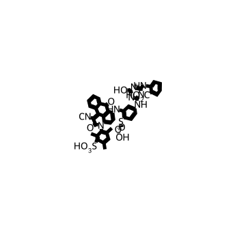 [C-]#[N+]c1c2c3c(c(Nc4cc(Nc5nc(O)nc(Nc6ccccc6C(=O)O)n5)ccc4SOOO)ccc3n(-c3c(C)cc(C)c(S(=O)(=O)O)c3C)c1=O)C(=O)c1ccccc1-2